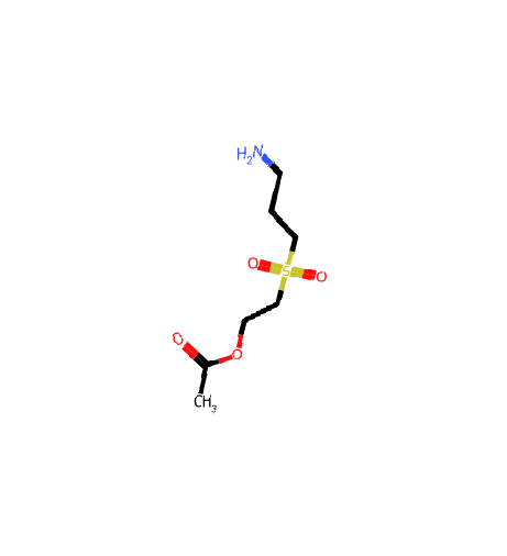 CC(=O)OCCS(=O)(=O)CCCN